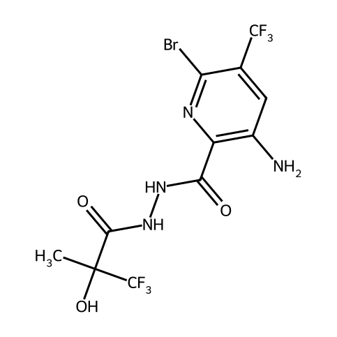 CC(O)(C(=O)NNC(=O)c1nc(Br)c(C(F)(F)F)cc1N)C(F)(F)F